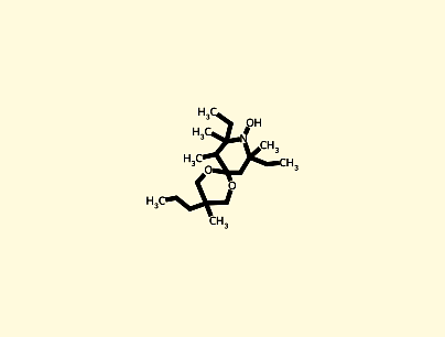 CCCC1(C)COC2(CC(C)(CC)N(O)C(C)(CC)C2C)OC1